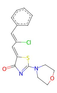 O=C1N=C(N2CCOCC2)SC1=CC(Cl)=Cc1ccccc1